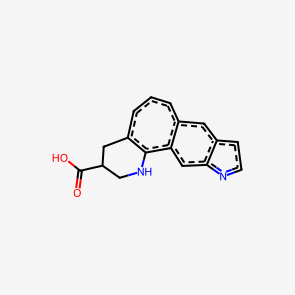 O=C(O)C1CNc2c(cccc3cc4ccnc4cc23)C1